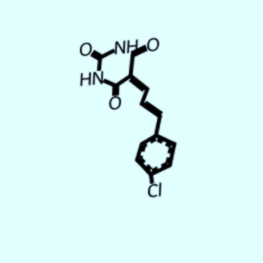 O=C1NC(=O)C(=C/C=C/c2ccc(Cl)cc2)C(=O)N1